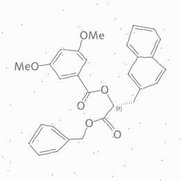 COc1cc(OC)cc(C(=O)O[C@H](Cc2ccc3ccccc3c2)C(=O)OCc2ccccc2)c1